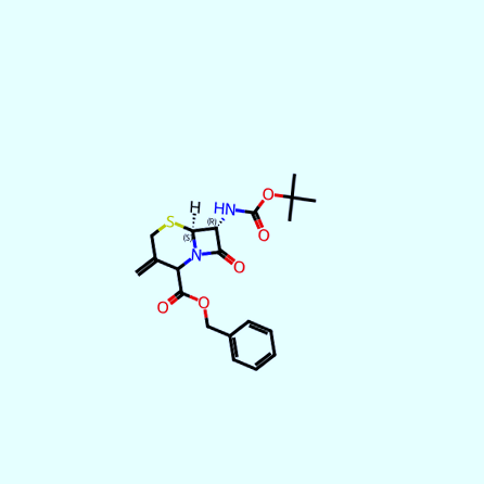 C=C1CS[C@H]2[C@H](NC(=O)OC(C)(C)C)C(=O)N2C1C(=O)OCc1ccccc1